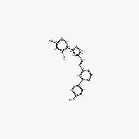 Oc1ccc(-c2cccc(C=Cc3nc(-c4ccc(Cl)cc4Cl)c[nH]3)c2)cc1